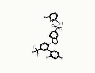 O=S(=O)(Nc1cccc(F)n1)c1ccc2c(c1)CC[C@@H]2c1ccc(C(F)(F)F)cc1-c1ccc(F)cc1F